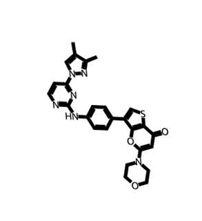 Cc1cn(-c2ccnc(Nc3ccc(-c4csc5c(=O)cc(N6CCOCC6)oc45)cc3)n2)nc1C